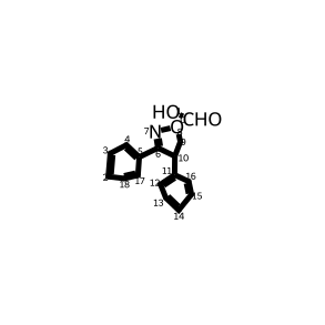 O=CO.c1ccc(C2=NOCC2c2ccccc2)cc1